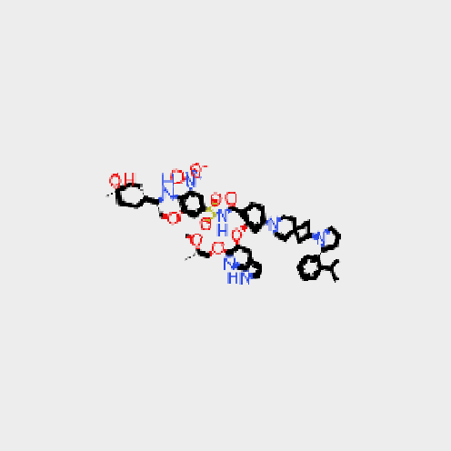 CO[C@@H](C)COc1nc2[nH]ccc2cc1Oc1cc(N2CCC3(CC2)CC(N2CCC[C@@H]2c2ccccc2C(C)C)C3)ccc1C(=O)NS(=O)(=O)c1cc2c(c([N+](=O)[O-])c1)N[C@@H]([C@H]1CC[C@](C)(O)CC1)CO2